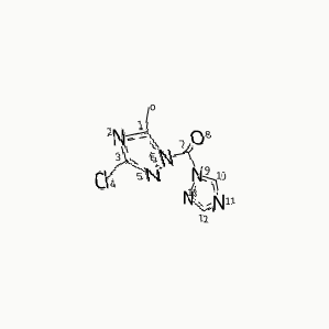 Cc1nc(Cl)nn1C(=O)n1cncn1